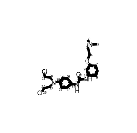 CN(C)CCOc1cccc(NC(=O)Nc2ccc(N(CCCl)CCCl)cc2)c1